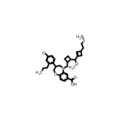 CCCc1cc(Cl)ccc1C1COc2ccc(C(=O)O)cc2N(CC2CCC2C(OC)C2=CC(CCSN)C2)C1